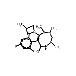 CC1CN(/C2=C(\c3c(F)cc(F)cc3F)C(Cl)NN(C)CN(C)N2C)C1